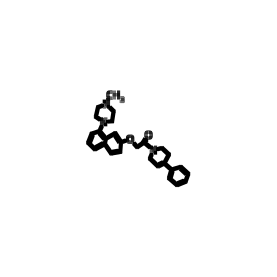 CN1CCN(c2cccc3ccc(OCC(=O)N4CC=C(c5ccccc5)CC4)cc23)CC1